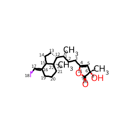 C[C@H](CCC1=C[C@](C)(O)C(=O)O1)[C@H]1CCC2C(=CI)CCC[C@@]21C